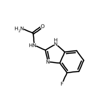 NC(=O)Nc1nc2c(F)cccc2[nH]1